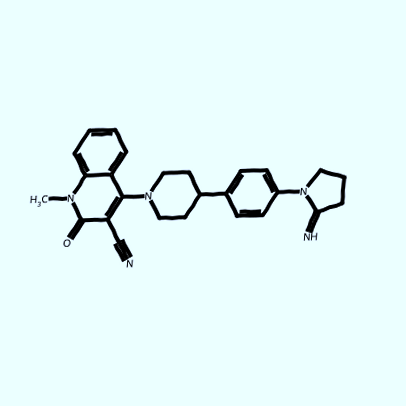 Cn1c(=O)c(C#N)c(N2CCC(c3ccc(N4CCCC4=N)cc3)CC2)c2ccccc21